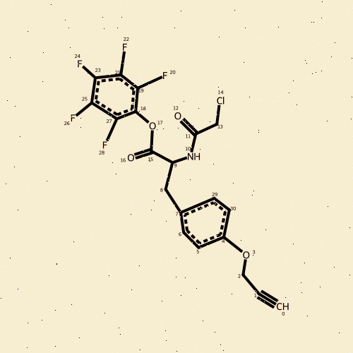 C#CCOc1ccc(CC(NC(=O)CCl)C(=O)Oc2c(F)c(F)c(F)c(F)c2F)cc1